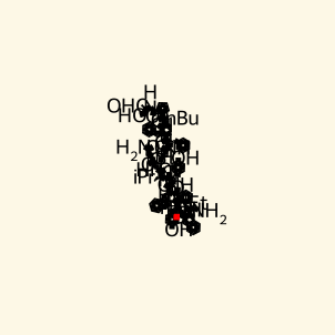 CCCC[C@@H](C(=O)N1CCC[C@@H]1C(=O)N[C@H](C=O)CO)N(C)C(=O)C(Cc1ccccc1)N(C)C(=O)[C@H](Cc1ccccc1)NC(=O)CSC[C@H](NC(=O)[C@H](CC(C)C)NC(=O)[C@H](Cc1ccc(O)cc1)NC(=O)[C@H](Cc1c[nH]c2ccccc12)NC(=O)[C@H]1CCCCN1C(=O)[C@H](Cc1ccc(O)cc1)NC(=O)C(Cc1ccccc1)N(C)C(=O)[C@@H](N)CC)C(=O)NCC(N)=O